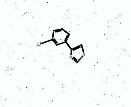 Clc1cccc(-c2cs[c]n2)c1